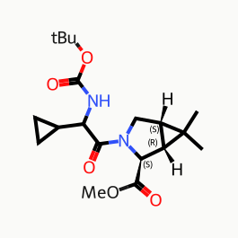 COC(=O)[C@@H]1[C@@H]2[C@H](CN1C(=O)C(NC(=O)OC(C)(C)C)C1CC1)C2(C)C